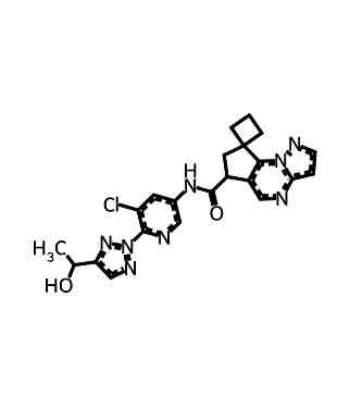 CC(O)c1cnn(-c2ncc(NC(=O)C3CC4(CCC4)c4c3cnc3ccnn43)cc2Cl)n1